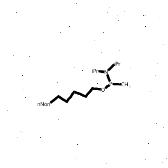 CCCCCCCCCCCCCCOP(C)N(C(C)C)C(C)C